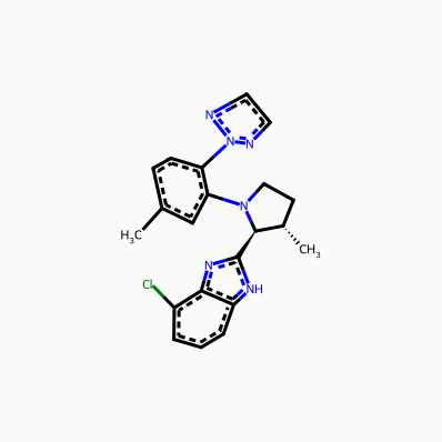 Cc1c[c]c(-n2nccn2)c(N2CC[C@H](C)[C@H]2c2nc3c(Cl)cccc3[nH]2)c1